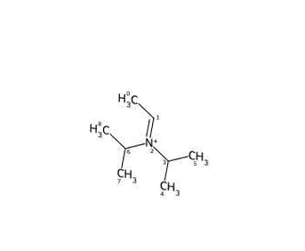 CC=[N+](C(C)C)C(C)C